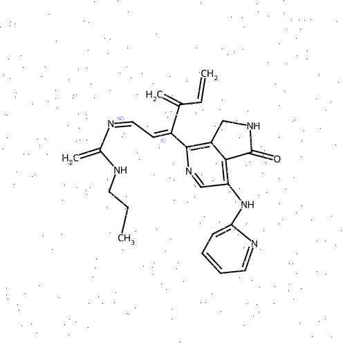 C=CC(=C)/C(=C\C=N/C(=C)NCCC)c1ncc(Nc2ccccn2)c2c1CNC2=O